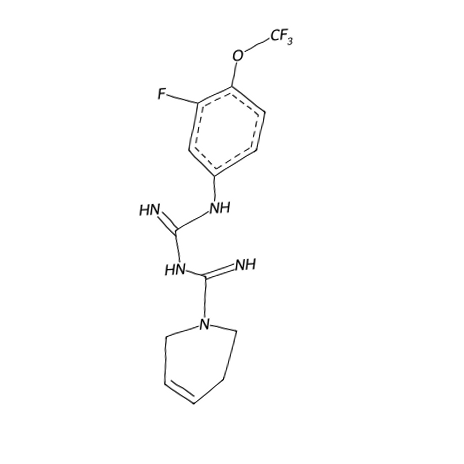 N=C(NC(=N)N1CC=CCC1)Nc1ccc(OC(F)(F)F)c(F)c1